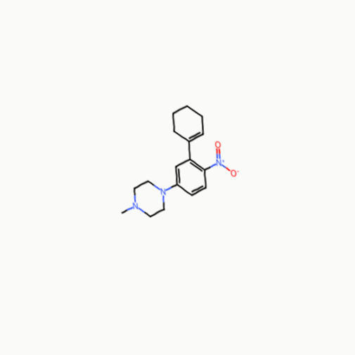 CN1CCN(c2ccc([N+](=O)[O-])c(C3=CCCCC3)c2)CC1